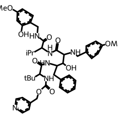 COc1ccc(CNC(C(=O)NC(C(=O)NCc2ccc(OC)cc2O)C(C)C)C(O)C(Cc2ccccc2)NC(=O)C(NC(=O)OCc2ccncc2)C(C)(C)C)cc1